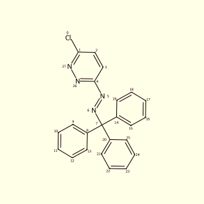 Clc1ccc(N=NC(c2ccccc2)(c2ccccc2)c2ccccc2)nn1